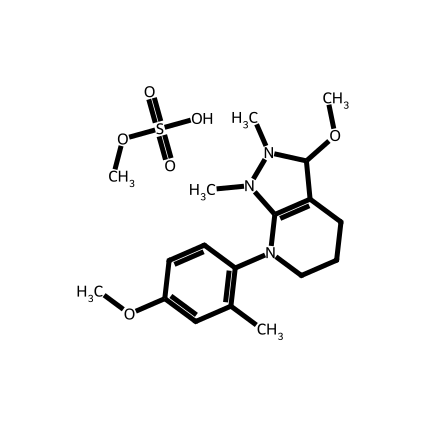 COS(=O)(=O)O.COc1ccc(N2CCCC3=C2N(C)N(C)C3OC)c(C)c1